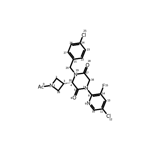 CC(=O)N1CC([C@H]2C(=O)N(c3ncc(Cl)cc3F)CC(=O)N2Cc2ccc(Cl)cc2)C1